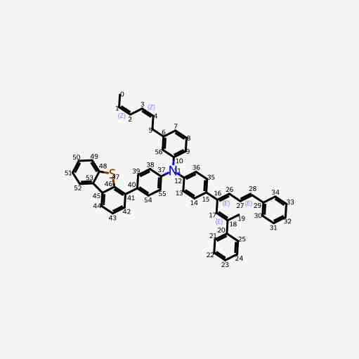 C/C=C\C=C/Cc1cccc(N(c2ccc(C(/C=C(\C)c3ccccc3)=C/C=C/c3ccccc3)cc2)c2ccc(-c3cccc4c3sc3ccccc34)cc2)c1